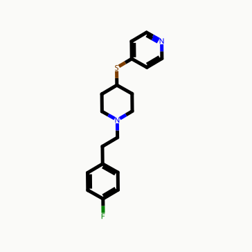 Fc1ccc(CCN2CCC(Sc3ccncc3)CC2)cc1